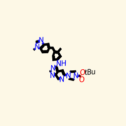 Cc1cc(Nc2ncnc3cnc(N4CCN(C(=O)OC(C)(C)C)CC4)cc23)ccc1Cc1ccc2c(c1)ncn2C